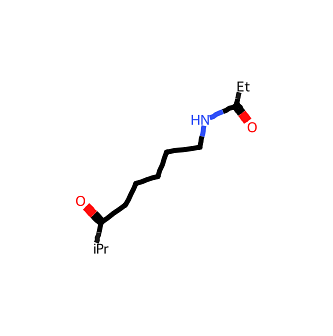 CCC(=O)NCCCCCC(=O)C(C)C